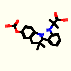 CC(C)(Nc1ccccc1C1Nc2ccc(OC(=O)O)cc2CC1(C)C)C(=O)O